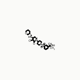 CC(C)(O)c1cccc(S(=O)(=O)N2CCC(n3ncc(NC[C@H]4CCCOC4)c(Cl)c3=O)CC2)c1